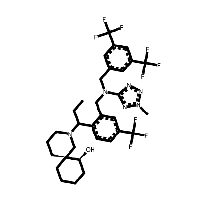 CCC(c1ccc(C(F)(F)F)cc1CN(Cc1cc(C(F)(F)F)cc(C(F)(F)F)c1)c1nnn(C)n1)N1CCC[C@@]2(CCCC[C@@H]2O)C1